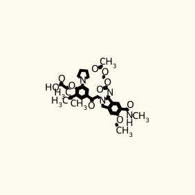 CCOc1cc2c(cc1C(=O)NC)C(=NC(=O)OCOC(C)=O)N(CC(=O)c1cc(N3CCCC3)c(OCC(=O)O)c(C(C)(C)C)c1)C2